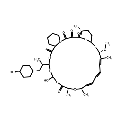 CO[C@H]1C[C@@H]2CC[C@@H](C)C(O)(O2)C(=O)C(=O)N2CCCCC2C(=O)OC([C@H](C)C[C@H]2CC[C@H](O)CC2)CC(O)CC(=O)[C@H](C)C[C@H](C)/C=C/C=C/C=C/1C